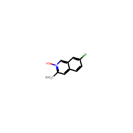 CCOC(=O)c1cc2ccc(Br)cc2c[n+]1O